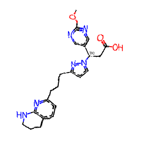 COc1ncc([C@@H](CC(=O)O)n2ccc(CCCc3ccc4c(n3)NCCC4)n2)cn1